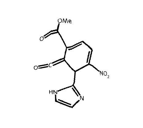 COC(=O)C1=CC=C([N+](=O)[O-])C(c2ncc[nH]2)C1=C=O